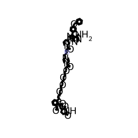 Nc1ncnc2c1c(-c1ccc(Oc3ccccc3)cc1)nn2[C@@H]1CCCN(C(=O)/C=C/CN2CCN(C(=O)COCCOCCOCCOCCSc3cccc4c3C(=O)N(C3CCC(=O)NC3=O)C4=O)CC2)C1